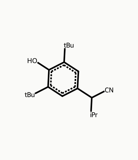 CC(C)C(C#N)c1cc(C(C)(C)C)c(O)c(C(C)(C)C)c1